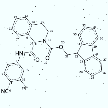 N#Cc1ccc(NC(=O)[C@@H]2c3ccccc3CCN2C(=O)OCC2c3ccccc3-c3ccccc32)cc1F